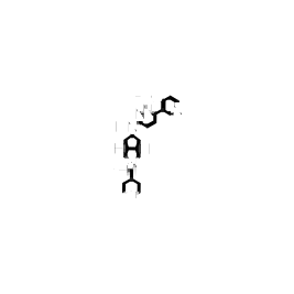 [2H]C([2H])(C1CCOCC1)N1C[C@H]2CC(Nc3ccc(-c4cnccc4C(F)(F)F)nn3)C[C@H]2C1